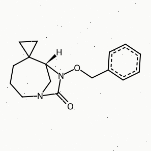 O=C1N2CCCC3(CC3)[C@@H](C2)N1OCc1ccccc1